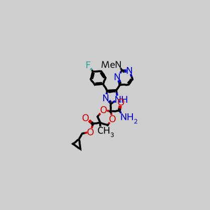 CNc1nccc(-c2[nH]c(C3(C(N)=O)OCC(C)(C(=O)OCC4CC4)CO3)nc2-c2ccc(F)cc2)n1